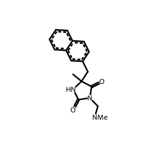 CNCN1C(=O)NC(C)(Cc2ccc3ccccc3c2)C1=O